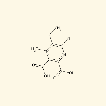 CCc1c(Cl)nc(C(=O)O)c(C(=O)O)c1C